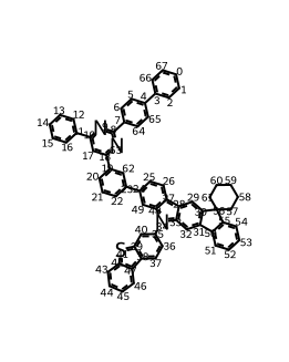 c1ccc(-c2ccc(-c3nc(-c4ccccc4)cc(-c4cccc(-c5ccc6c7cc8c(cc7n(-c7ccc9c(c7)sc7ccccc79)c6c5)-c5ccccc5C85CCCCC5)c4)n3)cc2)cc1